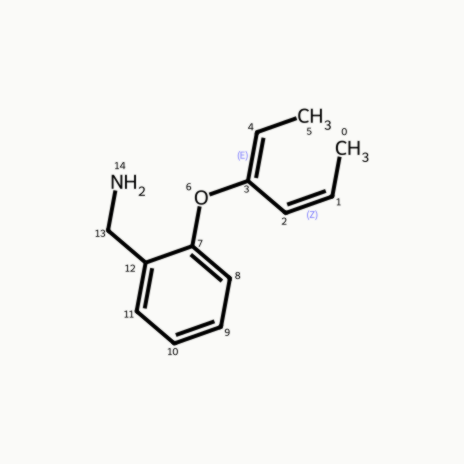 C/C=C\C(=C/C)Oc1ccccc1CN